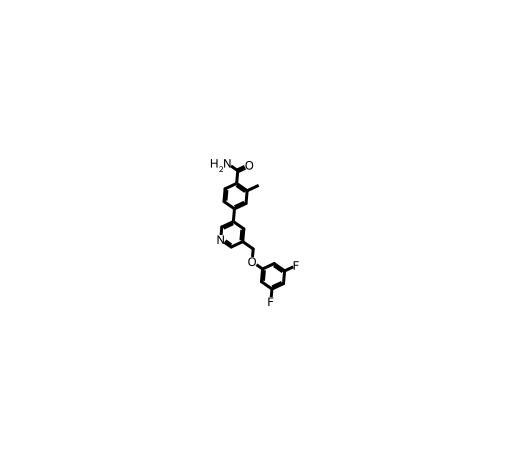 Cc1cc(-c2cncc(COc3cc(F)cc(F)c3)c2)ccc1C(N)=O